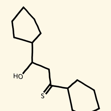 OC(CC(=S)C1CCCCC1)C1CCCCC1